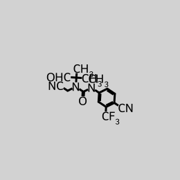 CN(C(=O)N(CC#N)C(C)(C)C=O)c1ccc(C#N)c(C(F)(F)F)c1